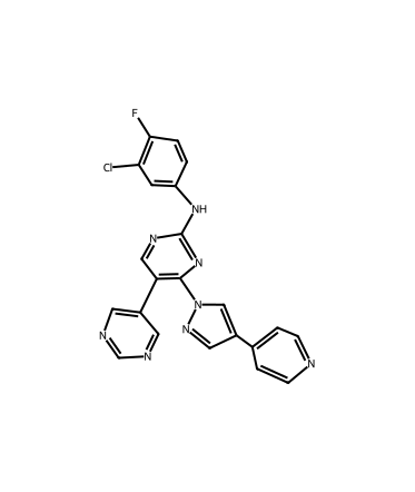 Fc1ccc(Nc2ncc(-c3cncnc3)c(-n3cc(-c4ccncc4)cn3)n2)cc1Cl